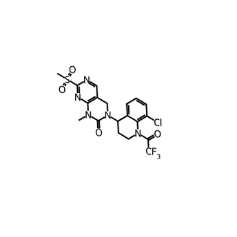 CN1C(=O)N(C2CCN(C(=O)C(F)(F)F)c3c(Cl)cccc32)Cc2cnc(S(C)(=O)=O)nc21